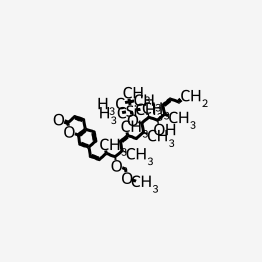 C=C/C=C\C(C)[C@H](O)[C@@H](C)[C@H](O[Si](C)(C)C(C)(C)C)[C@@H](C)C/C(C)=C\[C@H](C)[C@@H](OCOC)C(C)/C=C\c1ccc2ccc(=O)oc2c1